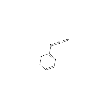 [N-]=[N+]=NC1=CC=CC[CH]1